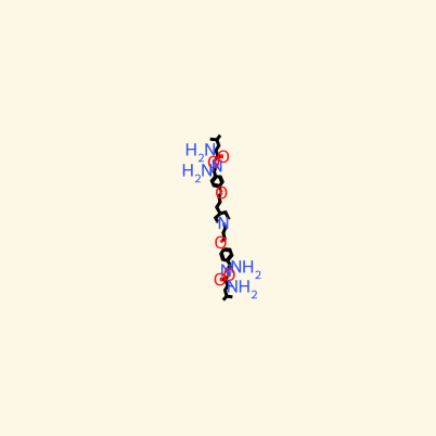 CC(C)C[C@H](N)C(=O)O/N=C(\N)c1ccc(OCCCC2CCN(CCCOc3ccc(/C(N)=N/OC(=O)[C@@H](N)CC(C)C)cc3)CC2)cc1